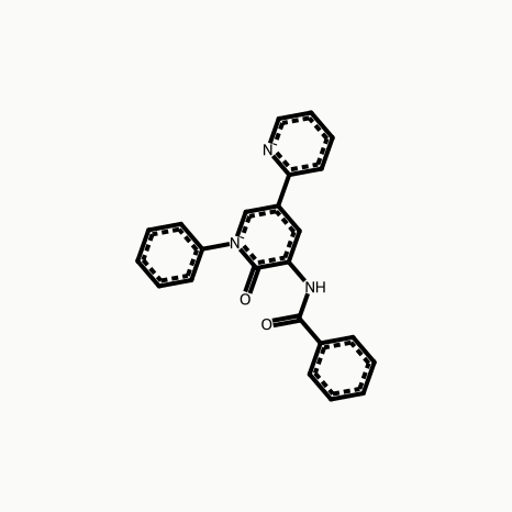 O=C(Nc1cc(-c2ccccn2)cn(-c2ccccc2)c1=O)c1ccccc1